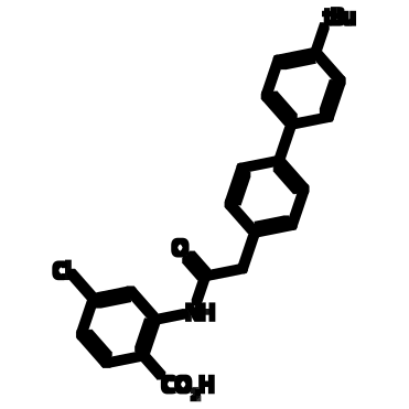 CC(C)(C)c1ccc(-c2ccc(CC(=O)Nc3cc(Cl)ccc3C(=O)O)cc2)cc1